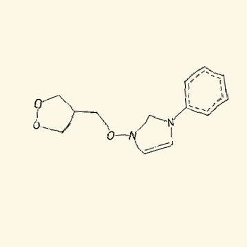 C1=CN(c2ccccc2)CN1OCC1COOC1